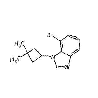 CC1(C)CC(n2cnc3cccc(Br)c32)C1